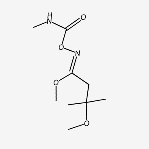 CNC(=O)ON=C(CC(C)(C)OC)OC